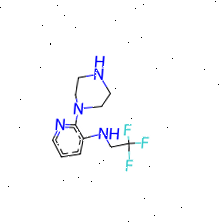 FC(F)(F)CNc1cccnc1N1CCNCC1